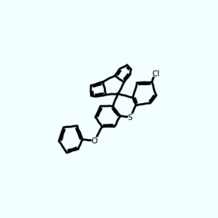 Clc1ccc2c(c1)C1(c3ccc(Oc4ccccc4)cc3S2)c2ccccc2-c2ccccc21